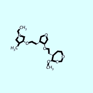 CCN1CC(C)[C@@H](OCC[C@@H]2COC[C@@H]2OCC[C@@H]2CCOCC[C@@H]2OC)C1